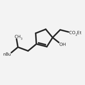 CCCCC(C)CC1=CC(O)(CC(=O)OCC)CC1